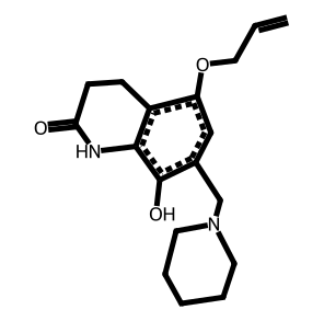 C=CCOc1cc(CN2CCCCC2)c(O)c2c1CCC(=O)N2